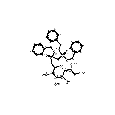 CC(=O)OC[C@@H](OC(C)=O)[C@H]1OC(OP(=O)(CP(=O)(OCc2ccccc2)OCc2ccccc2)OCc2ccccc2)[C@@H](OC(C)=O)[C@@H](OC(C)=O)[C@@H]1OC(C)=O